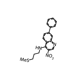 CSCCCNc1c([N+](=O)[O-])cnc2cc(-c3ccccc3)ccc12